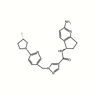 C[C@H]1CCN(c2ccc(Cn3cc(C(=O)N[C@@H]4CCc5nc(N)ccc54)cn3)cn2)C1